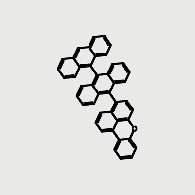 c1ccc2c(c1)Oc1ccc(-c3c4ccccc4c(-c4c5ccccc5cc5ccccc45)c4ccccc34)c3cccc-2c13